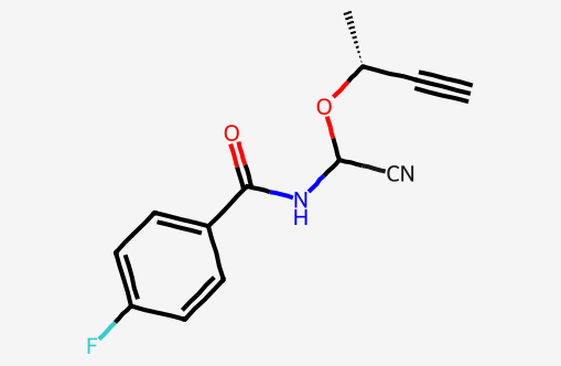 C#C[C@@H](C)OC(C#N)NC(=O)c1ccc(F)cc1